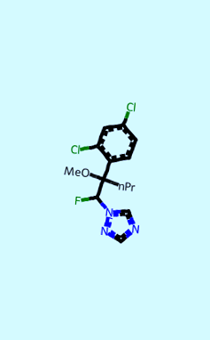 CCCC(OC)(c1ccc(Cl)cc1Cl)C(F)n1cncn1